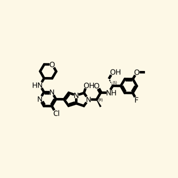 COc1cc(F)cc([C@@H](CO)NC(=O)[C@@H](C)N2Cc3cc(-c4nc(NC5CCOCC5)ncc4Cl)cn3C2O)c1